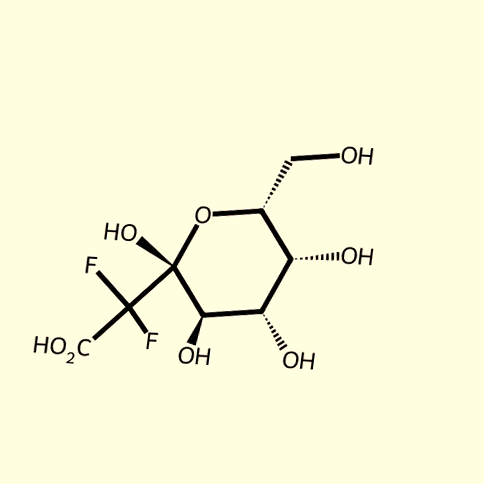 O=C(O)C(F)(F)[C@]1(O)O[C@H](CO)[C@H](O)[C@H](O)[C@H]1O